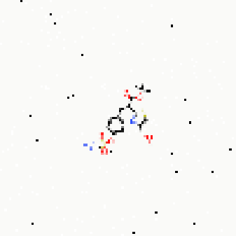 COCc1csc(C(Cc2ccc(OS(N)(=O)=O)cc2)C(=O)OC(C)(C)C)n1